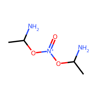 CC(N)O[N+](=O)OC(C)N